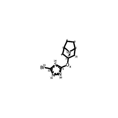 CN1C2CCC1CC(Oc1nnc(Br)s1)C2